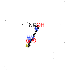 N#CC1CN(CCCCCNC(=O)c2cc(-c3cccs3)on2)CC1O